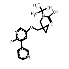 CC(C)(C)N(CC1(COc2cnc(F)c(-c3cccnc3)c2)CC1)C(=O)O